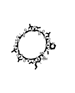 C/C=C/C[C@@H](C)[C@@H](O)C1C(=O)N[C@@H](CC)C(=O)N(C)[C@H](Sc2ccccn2)C(=O)N(C)[C@@H](CC(C)C)C(=O)N[C@@H](C(C)C)C(=O)N(C)[C@@H](CC(C)C)C(=O)N[C@@H](C)C(=O)N[C@H](C)C(=O)N(C)[C@@H](CC(C)C)C(=O)N(C)[C@@H](CC(C)C)C(=O)N(C)[C@@H](C(C)C)C(=O)N1C